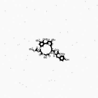 CCC(C)[C@@H]1NC(=O)C(NC(=O)OC(C)(C)C)Cc2cc(c(O)c(C(C)(C)C)c2)-c2cc(cc(C(C)(C)C)c2O)CC(C(=O)NC(Cc2ccc(O)cc2)C(=O)OC)NC1=O